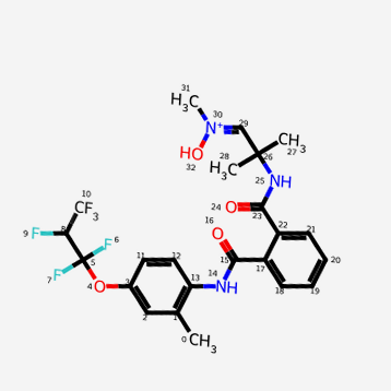 Cc1cc(OC(F)(F)C(F)C(F)(F)F)ccc1NC(=O)c1ccccc1C(=O)NC(C)(C)C=[N+](C)O